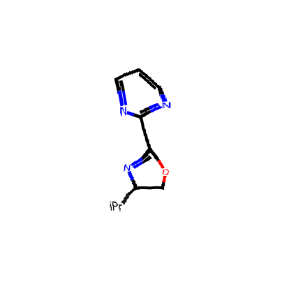 CC(C)C1COC(c2ncccn2)=N1